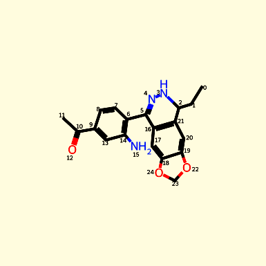 CCC1NN=C(c2ccc(C(C)=O)cc2N)c2cc3c(cc21)OCO3